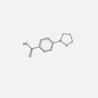 O=C(O)c1ccc(N2CCCS2)cc1